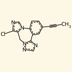 CC#Cc1ccc2c(c1)-c1ncnn1Cc1c(Cl)ncn1-2